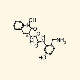 NCc1ccc(O)cc1NC(=O)C(=O)N[C@@H](Cc1ccccc1)C(=O)NO